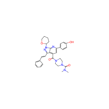 CN(C)C(=O)N1CCN(C(=O)c2cc(-c3ccc(O)cc3)nc3c2c(/C=C/c2ccccc2)nn3C2CCCCO2)CC1